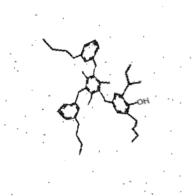 CCCCc1cccc(Cc2c(C)c(Cc3cccc(CCCC)c3)c(C)c(Cc3cc(CCCC)c(O)c(C(C)CC)c3)c2C)c1